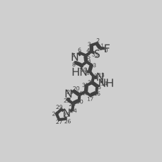 Fc1ccc(-c2cncc3[nH]c(-c4n[nH]c5ccc(-c6cncc(CN7CCCC7)c6)cc45)cc23)s1